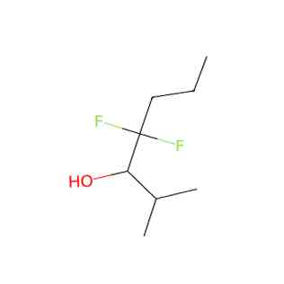 CCCC(F)(F)C(O)C(C)C